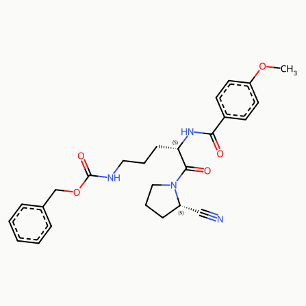 COc1ccc(C(=O)N[C@@H](CCCNC(=O)OCc2ccccc2)C(=O)N2CCC[C@H]2C#N)cc1